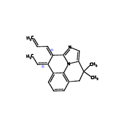 C=C/C=c1\c(=C/C)c2cccc3c2n2c(cnc12)C(C)(C)C3